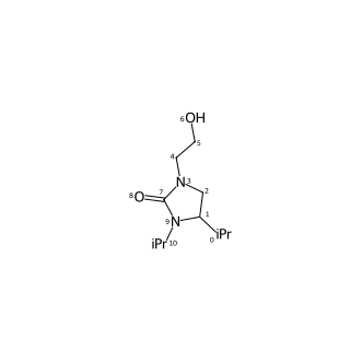 CC(C)C1CN(CCO)C(=O)N1C(C)C